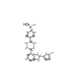 Cc1cc(-c2cc3c(N4CCN(c5ncc(C(C)O)cn5)CC4)ncnn3c2)no1